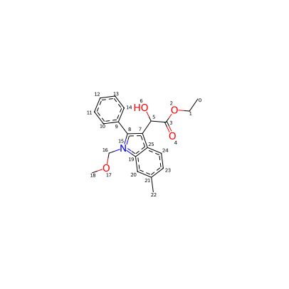 CCOC(=O)C(O)c1c(-c2ccccc2)n(COC)c2cc(C)ccc12